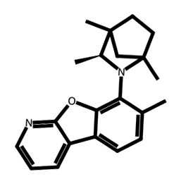 Cc1ccc2c(oc3ncccc32)c1N1[C@@H](C)C2(C)CCC1(C)C2